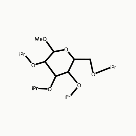 COC1OC(COC(C)C)C(OC(C)C)C(OC(C)C)C1OC(C)C